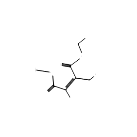 CCOC(=O)/C(CC)=C(/Cl)C(=O)OCl